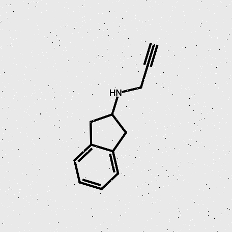 C#CCNC1Cc2ccccc2C1